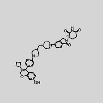 O=C1CC[C@H](N2Cc3cc(N4CCN(CC5CCN(c6ccc(C7=C(C8CCC8)COc8cc(O)ccc87)cc6)CC5)CC4)ccc3C2=O)C(=O)N1